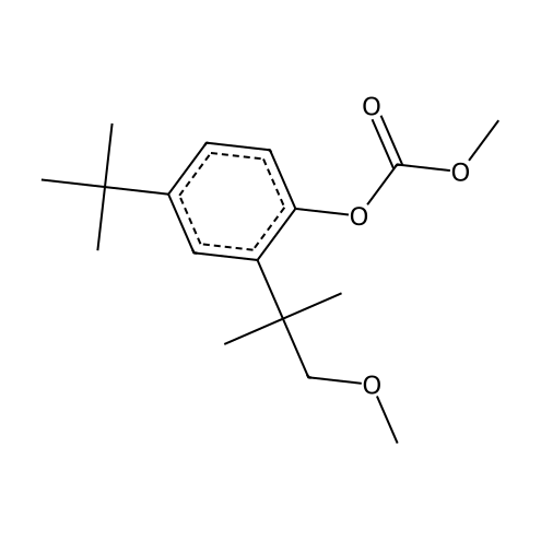 COCC(C)(C)c1cc(C(C)(C)C)ccc1OC(=O)OC